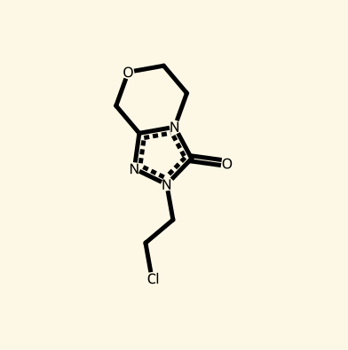 O=c1n(CCCl)nc2n1CCOC2